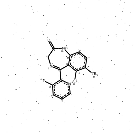 O=C1CN=C(c2ncccc2F)c2c(ccc(C(F)(F)F)c2Cl)N1